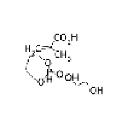 C=C(C)C(=O)O.O=[PH]1OCCCCO1.OCCO